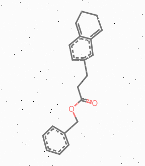 O=C(CCc1ccc2c(c1)=CCCC=2)OCc1ccccc1